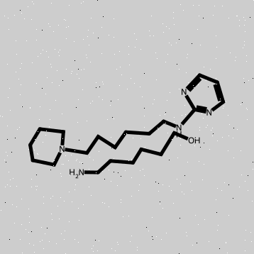 NCCCCCCO.c1cnc(NCCCCCCN2CCCCC2)nc1